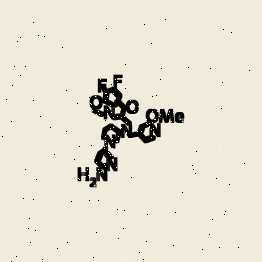 COc1cc(CN(Cc2cn3c4c(c(F)c(F)cc4c2=O)OCC3)[C@H]2CCCN(c3ccc(N)nc3)C2)ccn1